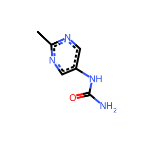 Cc1ncc(NC(N)=O)cn1